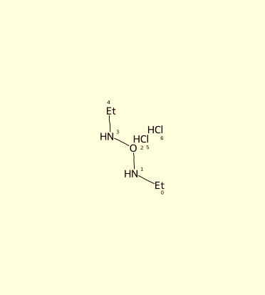 CCNONCC.Cl.Cl